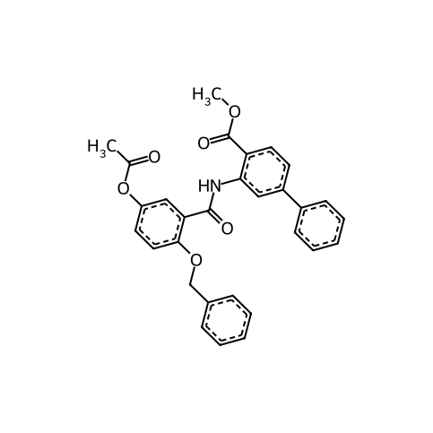 COC(=O)c1ccc(-c2ccccc2)cc1NC(=O)c1cc(OC(C)=O)ccc1OCc1ccccc1